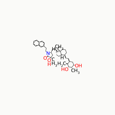 C=C1/C(=C\C=C2/CCC[C@]3(C)[C@@H]([C@H](C)CC4CC(C)(O)C(=O)N4CCc4ccc5ccccc5c4)CC[C@@H]23)C[C@@H](O)[C@H](C)[C@@H]1O